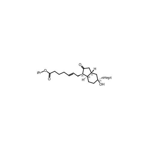 CCCCCCC[C@]1(O)CC[C@@H]2[C@H](CC(=O)[C@@H]2CC=CCCCC(=O)OC(C)C)C1